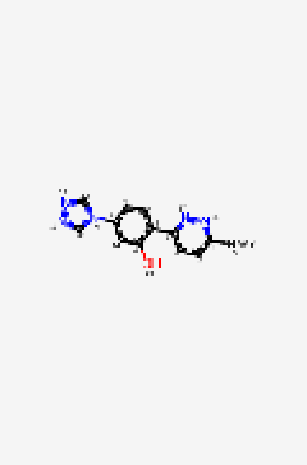 CNc1ccc(-c2ccc(-n3cnnc3)cc2O)nn1